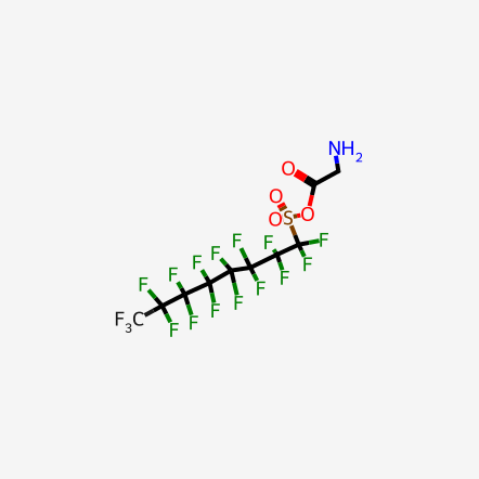 NCC(=O)OS(=O)(=O)C(F)(F)C(F)(F)C(F)(F)C(F)(F)C(F)(F)C(F)(F)C(F)(F)C(F)(F)F